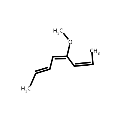 C\C=C/C(=C\C=C\C)OC